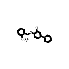 O=C(O)c1ccccc1COc1ccc(-c2ccccc2)cc1Cl